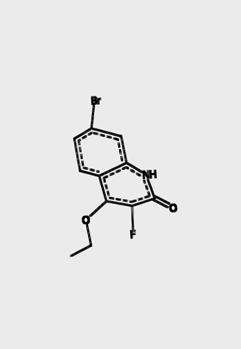 CCOc1c(F)c(=O)[nH]c2cc(Br)ccc12